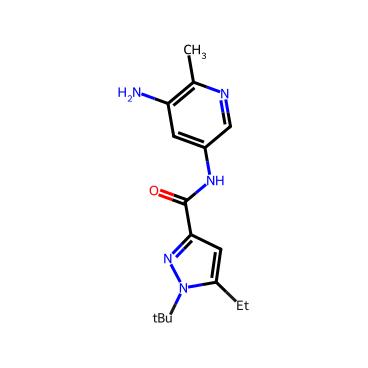 CCc1cc(C(=O)Nc2cnc(C)c(N)c2)nn1C(C)(C)C